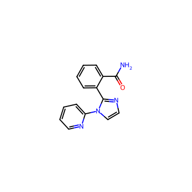 NC(=O)c1ccccc1-c1nccn1-c1ccccn1